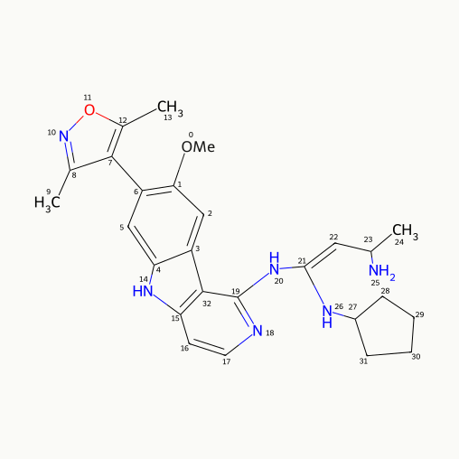 COc1cc2c(cc1-c1c(C)noc1C)[nH]c1ccnc(N/C(=C/C(C)N)NC3CCCC3)c12